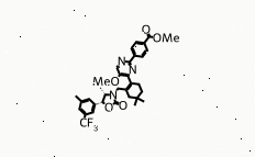 COC(=O)c1ccc(-c2ncc(OC)c(C3=C(CN4C(=O)O[C@H](c5cc(C)cc(C(F)(F)F)c5)[C@@H]4C)CC(C)(C)CC3)n2)cc1